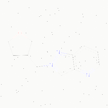 c1cnc2cn(CC3CCOC3)nc2c1